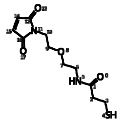 O=C(CCS)NCCOCCN1C(=O)C=CC1=O